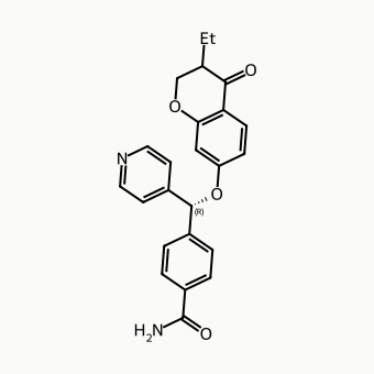 CCC1COc2cc(O[C@@H](c3ccncc3)c3ccc(C(N)=O)cc3)ccc2C1=O